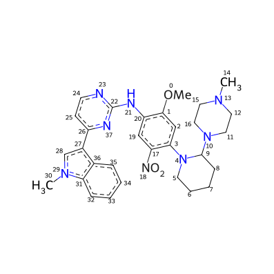 COc1cc(N2CCCCC2N2CCN(C)CC2)c([N+](=O)[O-])cc1Nc1nccc(-c2cn(C)c3ccccc23)n1